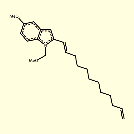 C=CCCCCCCCCC=Cc1cc2cc(OC)ccc2n1COC